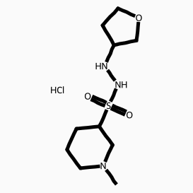 CN1CCCC(S(=O)(=O)NNC2CCOC2)C1.Cl